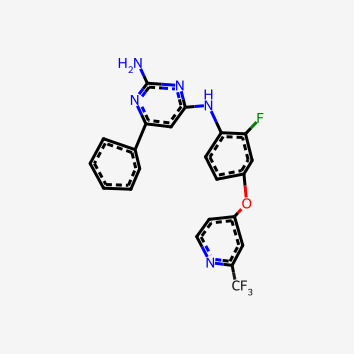 Nc1nc(Nc2ccc(Oc3ccnc(C(F)(F)F)c3)cc2F)cc(-c2ccccc2)n1